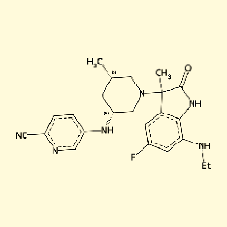 CCNc1cc(F)cc2c1NC(=O)C2(C)N1C[C@@H](C)C[C@@H](Nc2ccc(C#N)nc2)C1